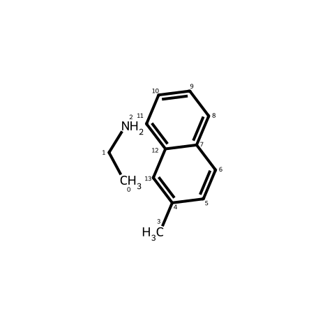 CCN.Cc1ccc2ccccc2c1